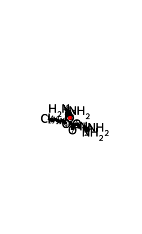 NC(N)=NCOC(=O)C(OCCCCCl)ON=C(N)N